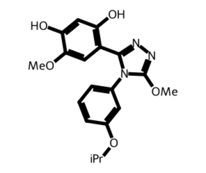 COc1cc(-c2nnc(OC)n2-c2cccc(OC(C)C)c2)c(O)cc1O